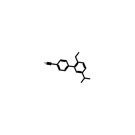 CCc1ccc(C(C)C)cc1-c1ccc(C#N)cc1